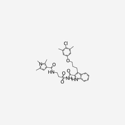 Cc1cc(OCCCc2c(C(=O)NS(=O)(=O)CCNC(=O)c3cc(C)n(C)c3C)[nH]c3ccccc23)cc(C)c1Cl